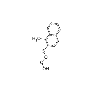 Cc1c(SOOO)ccc2ccccc12